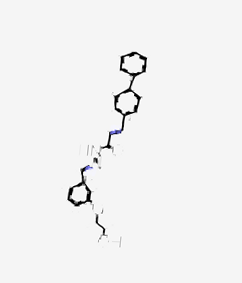 O=C(/C=C/c1ccc(-c2ccccc2)cc1)N/N=C/c1cccc(OCCO)c1